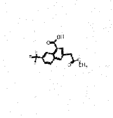 COC(=O)Cc1cc(C(=O)O)c2cc(C(F)(F)F)ccc2c1